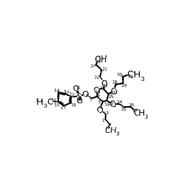 CCCCOC1C(COS(=O)(=O)c2ccc(C)cc2)OC(OCCCO)C(OCCCC)C1OCCCC